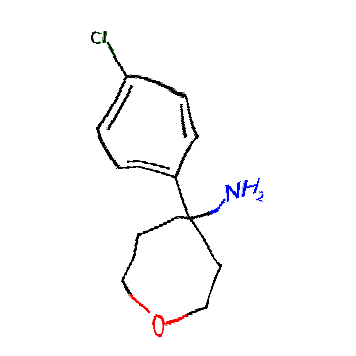 NC1(c2ccc(Cl)cc2)CCOCC1